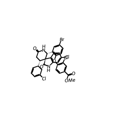 COC(=O)c1ccc(Oc2ccc(Br)cc2[C@H]2NC(=O)C[C@@H](C3C=CC=C(Cl)C3)[C@]23C(=O)Nc2cc(Cl)ccc23)c(Cl)c1